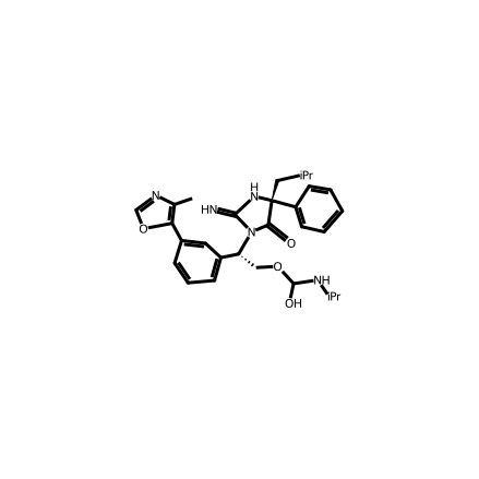 Cc1ncoc1-c1cccc([C@@H](COC(O)NC(C)C)N2C(=N)N[C@](CC(C)C)(c3ccccc3)C2=O)c1